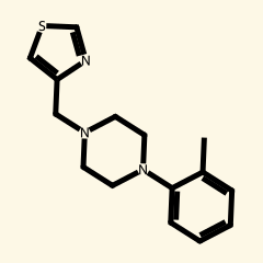 Cc1ccccc1N1CCN(Cc2cscn2)CC1